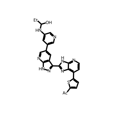 CCC(O)Nc1cncc(-c2cnc3[nH]nc(-c4nc5c(-c6ccc(C(C)=O)s6)ccnc5[nH]4)c3c2)c1